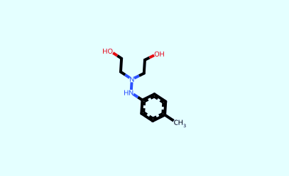 Cc1ccc(NN(CCO)CCO)cc1